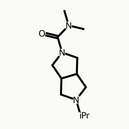 CC(C)N1CC2CN(C(=O)N(C)C)CC2C1